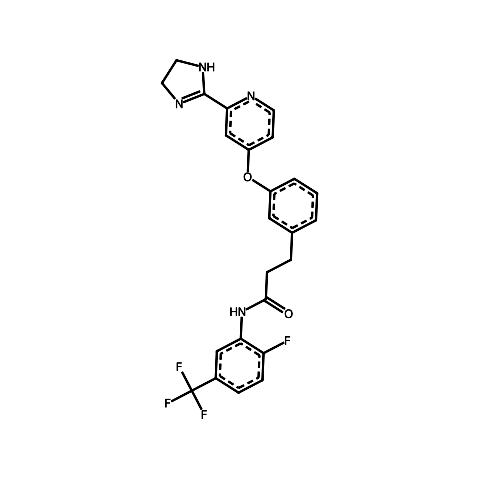 O=C(CCc1cccc(Oc2ccnc(C3=NCCN3)c2)c1)Nc1cc(C(F)(F)F)ccc1F